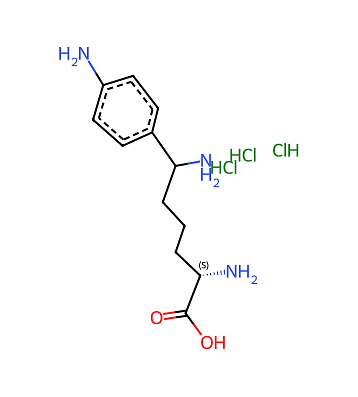 Cl.Cl.Cl.Nc1ccc(C(N)CCC[C@H](N)C(=O)O)cc1